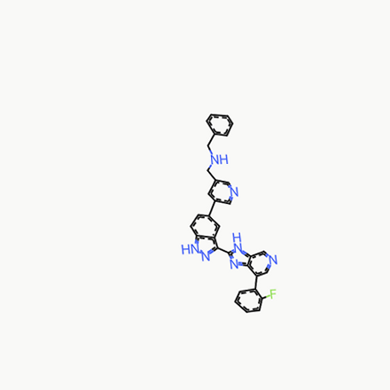 Fc1ccccc1-c1cncc2[nH]c(-c3n[nH]c4ccc(-c5cncc(CNCc6ccccc6)c5)cc34)nc12